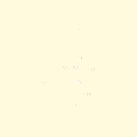 C=C(/C=C(/C(=O)OC(=O)OCC(C)C)N(CC(C)C)C(C)Nc1ncc(C2CC2)cc1C(=O)OC)CC